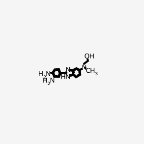 CN(CCO)c1ccc2[nH]c(-c3ccc(N)c(N)c3)nc2c1